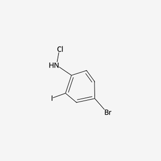 ClNc1ccc(Br)cc1I